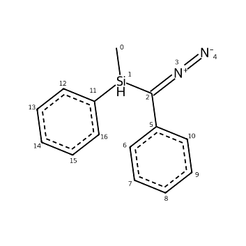 C[SiH](C(=[N+]=[N-])c1ccccc1)c1ccccc1